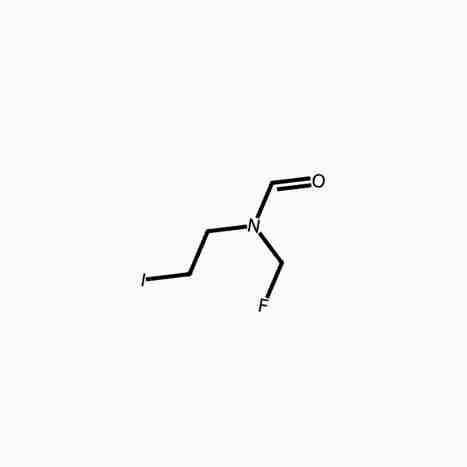 O=CN(CF)CCI